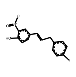 O=[N+]([O-])c1cc(/C=C/Cc2ccc(I)cc2)ccc1O